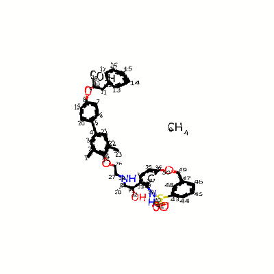 C.Cc1cc(-c2ccc(OC(Cc3ccccc3)C(=O)O)cc2)cc(C)c1OCCN[C@@H](C)[C@H](O)c1ccc2cc1NS(=O)(=O)c1cccc(c1)CO2